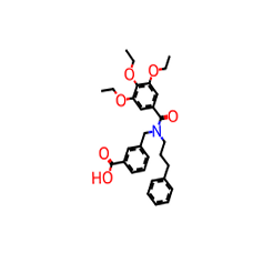 CCOc1cc(C(=O)N(CCCc2ccccc2)Cc2cccc(C(=O)O)c2)cc(OCC)c1OCC